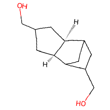 OCC1C[C@@H]2C3CC(CC3CO)[C@@H]2C1